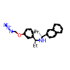 CC[C@H](N[C@@H](c1ccc2ccccc2c1)C(C)C)c1cccc(OCN=[N+]=[N-])c1